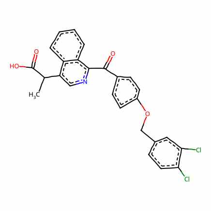 CC(C(=O)O)c1cnc(C(=O)c2ccc(OCc3ccc(Cl)c(Cl)c3)cc2)c2ccccc12